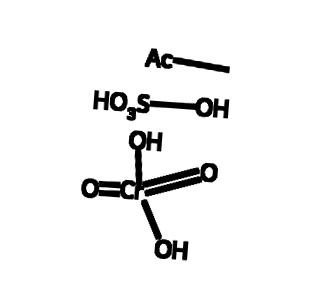 CC(C)=O.O=S(=O)(O)O.[O]=[Cr](=[O])([OH])[OH]